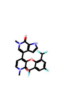 Cn1ccc(-c2cn(C)c(=O)c3[nH]ccc23)c(Oc2c(C(F)F)cc(F)cc2C(F)F)c1=O